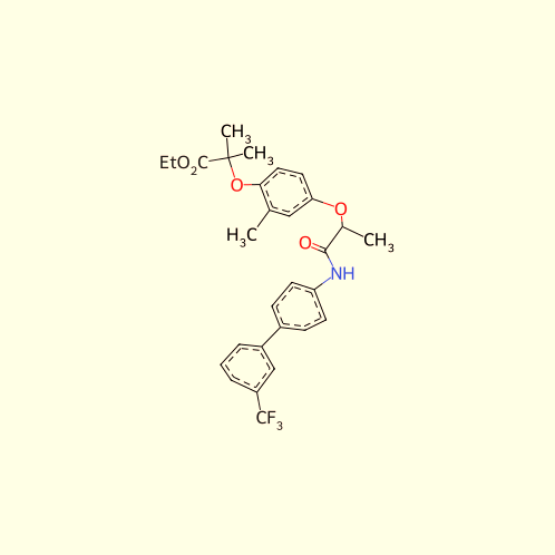 CCOC(=O)C(C)(C)Oc1ccc(OC(C)C(=O)Nc2ccc(-c3cccc(C(F)(F)F)c3)cc2)cc1C